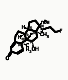 CCCC[C@@]1(SCCF)CC[C@H]2[C@@H]3CCC4=CC(=O)C=C[C@]4(C)[C@@]3(F)[C@@H](O)C[C@@]21C